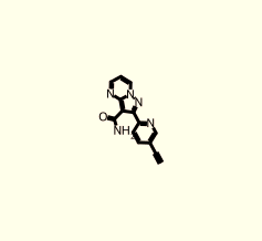 C#Cc1ccc(-c2nn3cccnc3c2C(N)=O)nc1